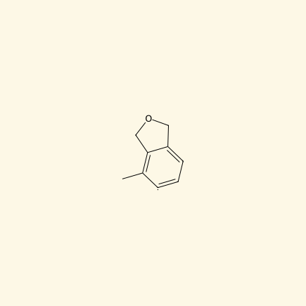 Cc1[c]ccc2c1COC2